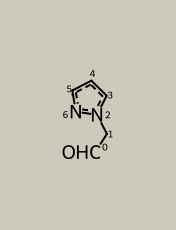 O=CCn1cc[c]n1